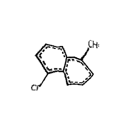 [CH]c1cccc2c(Cl)cccc12